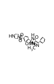 COc1cc(S(=O)(=O)N2CCNCC2)ccc1-c1nn2c(C)nc(-c3ccccc3)c2c(=O)[nH]1